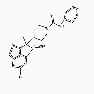 CC1(C2CCN(C(=O)Nc3cccnc3)CC2)[C@@H](O)c2cc(Cl)cc3cnn1c23